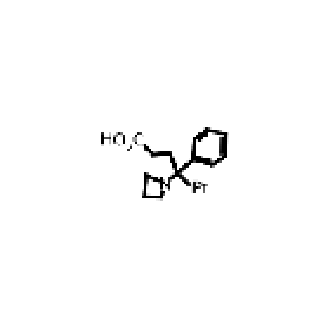 CC(C)C(CCC(=O)O)(c1ccccc1)N1CCC1